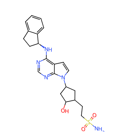 NS(=O)(=O)CCC1CC(n2ccc3c(N[C@H]4CCc5ccccc54)ncnc32)CC1O